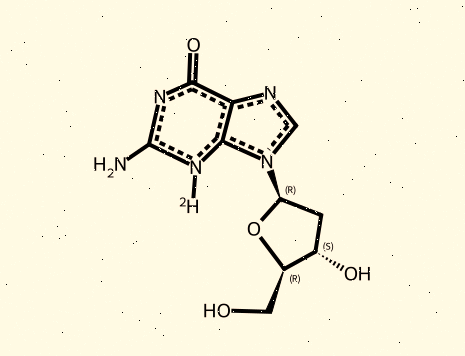 [2H]n1c(N)nc(=O)c2ncn([C@H]3C[C@H](O)[C@@H](CO)O3)c21